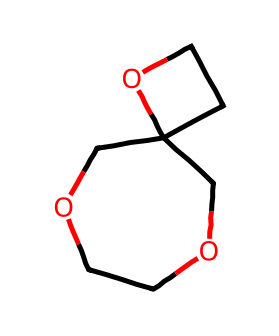 C1COCC2(CCO2)CO1